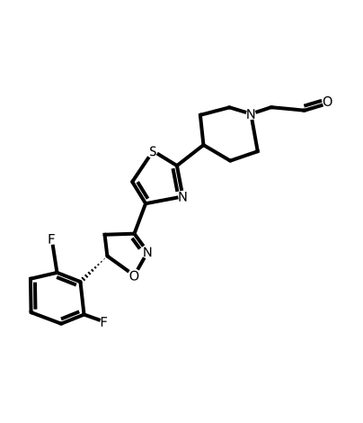 O=CCN1CCC(c2nc(C3=NO[C@H](c4c(F)cccc4F)C3)cs2)CC1